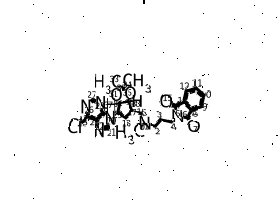 CN(CCCN1C(=O)c2ccccc2C1=O)C[C@H]1C[C@@H](n2cnc3c(Cl)ncnc32)[C@@H]2OC(C)(C)O[C@H]12